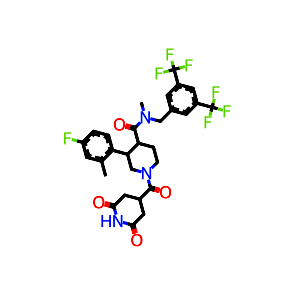 Cc1cc(F)ccc1C1CN(C(=O)C2CC(=O)NC(=O)C2)CCC1C(=O)N(C)Cc1cc(C(F)(F)F)cc(C(F)(F)F)c1